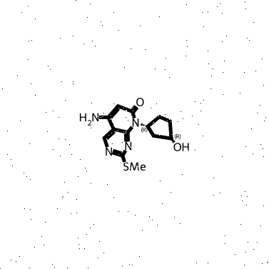 CSc1ncc2c(N)cc(=O)n([C@@H]3CC[C@@H](O)C3)c2n1